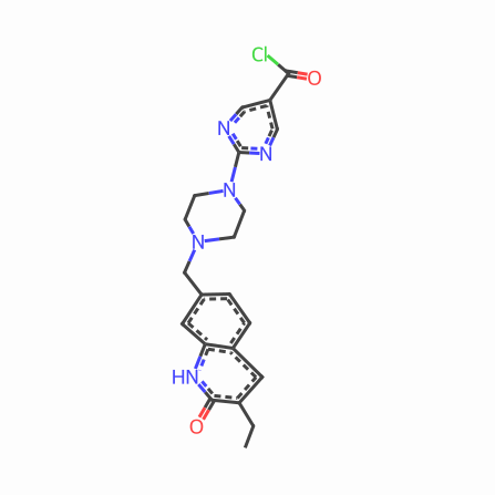 CCc1cc2ccc(CN3CCN(c4ncc(C(=O)Cl)cn4)CC3)cc2[nH]c1=O